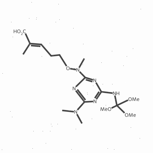 COC(Nc1nc(N(C)C)nc(N(C)OCCC=C(C)C(=O)O)n1)(OC)OC